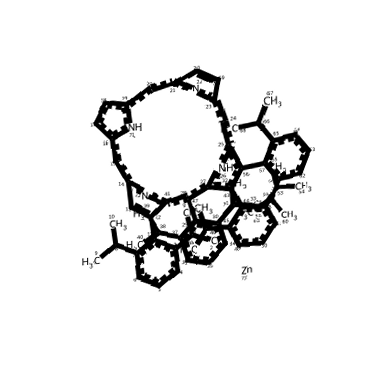 CC(C)c1cccc(C(C)C)c1C1=Cc2cc3ccc(cc4nc(cc5[nH]c(c(-c6c(C(C)C)cccc6C(C)C)c1n2)c(-c1c(C(C)C)cccc1C(C)C)c5-c1c(C(C)C)cccc1C(C)C)C=C4)[nH]3.[Zn]